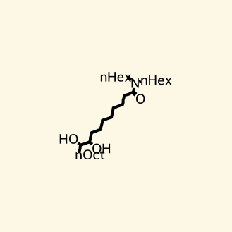 CCCCCCCCC(O)C(O)CCCCCCCC(=O)N(CCCCCC)CCCCCC